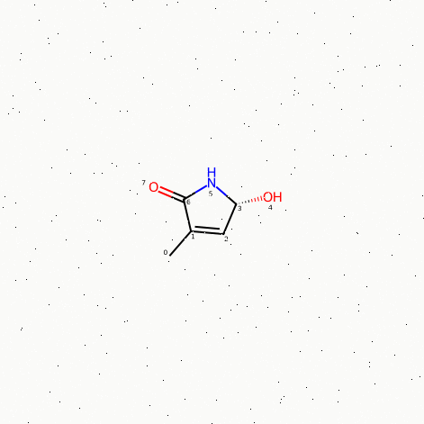 CC1=C[C@@H](O)NC1=O